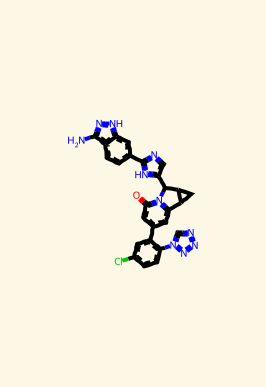 Nc1n[nH]c2cc(-c3ncc(C4C5CC5c5cc(-c6cc(Cl)ccc6-n6cnnn6)cc(=O)n54)[nH]3)ccc12